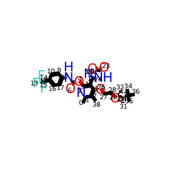 Cc1nc(OC(=O)Nc2ccc(C(F)(F)F)cc2)c(-c2noc(=O)[nH]2)c(OCCO[Si](C)(C)C(C)(C)C)c1C